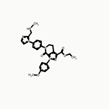 CCOC(=O)c1nn(-c2ccc(OC)cc2)c2c1CCN(c1ccc(-n3ccnc3CNC)cc1)C2=O